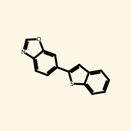 c1ccc2sc(-c3ccc4ncoc4c3)cc2c1